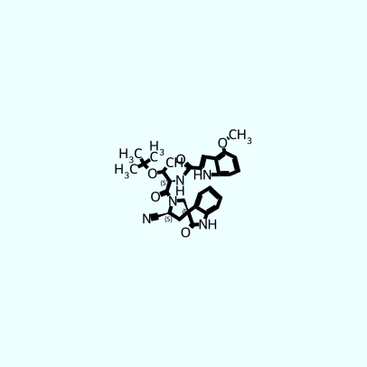 COc1cccc2[nH]c(C(=O)N[C@H](C(=O)N3C[C@]4(C[C@H]3C#N)C(=O)Nc3ccccc34)C(C)OC(C)(C)C)cc12